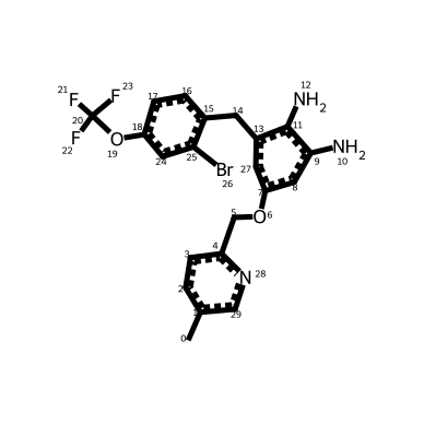 Cc1ccc(COc2cc(N)c(N)c(Cc3ccc(OC(F)(F)F)cc3Br)c2)nc1